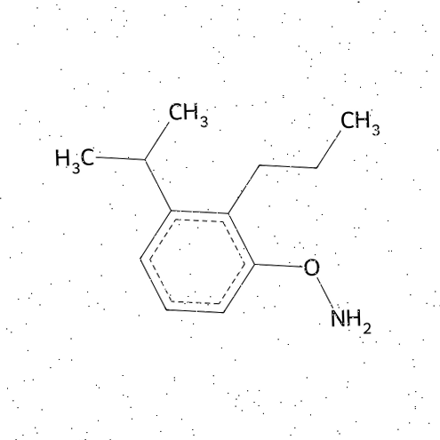 CCCc1c(ON)cccc1C(C)C